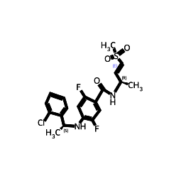 C[C@H](/C=C/S(C)(=O)=O)NC(=O)c1cc(F)c(N[C@@H](C)c2ccccc2Cl)cc1F